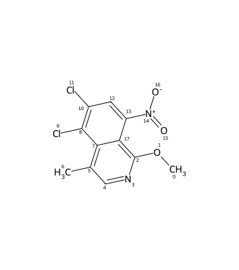 COc1ncc(C)c2c(Cl)c(Cl)cc([N+](=O)[O-])c12